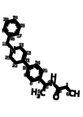 CCC(=O)NC(C)c1ccc(C2=CCN(Cc3ccccc3)CC2)cc1